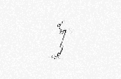 COc1cc2c(N[C@H](C)c3cccc(C(F)(F)CO)c3)nc(C)nc2c(CCCCCCCCN2CCN(C(=O)COc3ccc4c(C5CCC(=O)NC5=O)nn(C)c4c3)CC2)c1OC